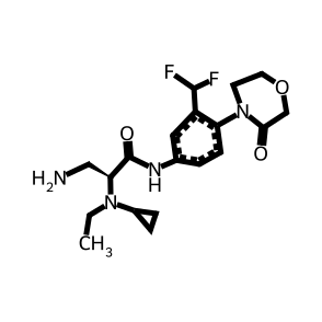 CCN(C1CC1)[C@@H](CN)C(=O)Nc1ccc(N2CCOCC2=O)c(C(F)F)c1